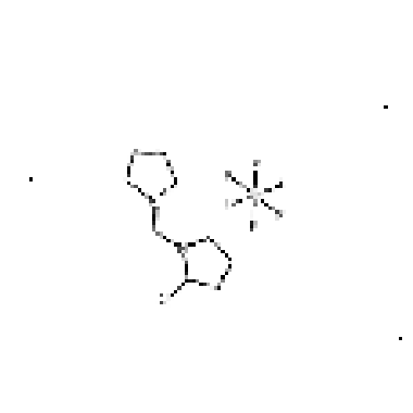 ClC1CCCN1C=[N+]1CCCC1.F[P-](F)(F)(F)(F)F